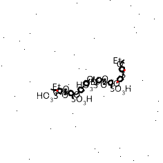 CCC(C)(C)Oc1ccc(Sc2ccc(Oc3ccc(S(=O)(=O)c4ccc(C(C)(CC)Oc5ccc(-c6ccc(Oc7ccc(S(=O)(=O)c8ccc(C(C)(C)CC)c(S(=O)(=O)O)c8)cc7S(=O)(=O)O)cc6)cc5)c(S(=O)(=O)O)c4)cc3S(=O)(=O)O)cc2)cc1